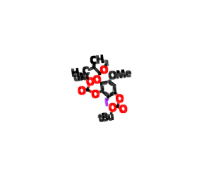 C=C(C)C(=O)Oc1c(OC)cc(OC(=O)OC(C)(C)C)c(I)c1OC(=O)OC(C)(C)C